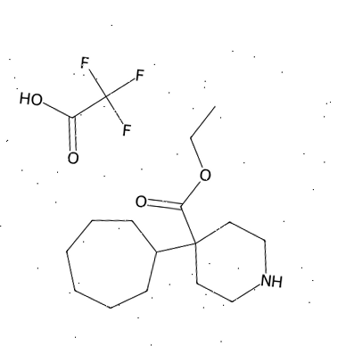 CCOC(=O)C1(C2CCCCCC2)CCNCC1.O=C(O)C(F)(F)F